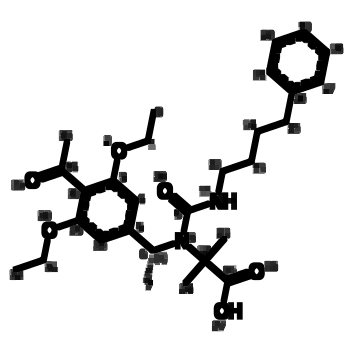 CCOc1cc([C@@H](C)N(C(=O)NCCCCc2ccccc2)C(C)(C)C(=O)O)cc(OCC)c1C(C)=O